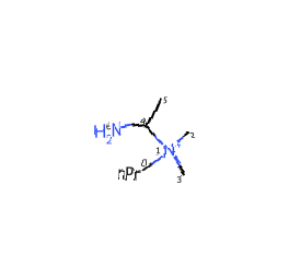 CCC[N+](C)(C)C(C)N